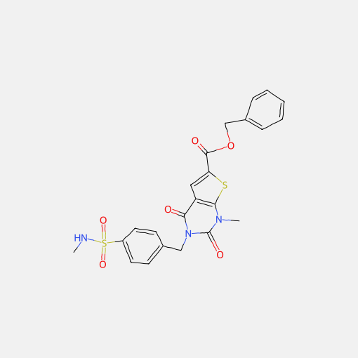 CNS(=O)(=O)c1ccc(Cn2c(=O)c3cc(C(=O)OCc4ccccc4)sc3n(C)c2=O)cc1